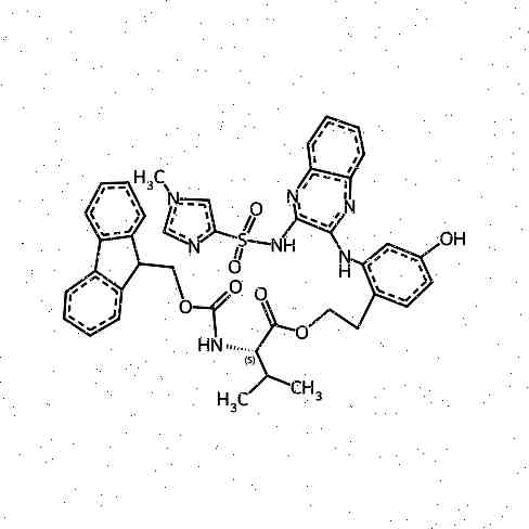 CC(C)[C@H](NC(=O)OCC1c2ccccc2-c2ccccc21)C(=O)OCCc1ccc(O)cc1Nc1nc2ccccc2nc1NS(=O)(=O)c1cn(C)cn1